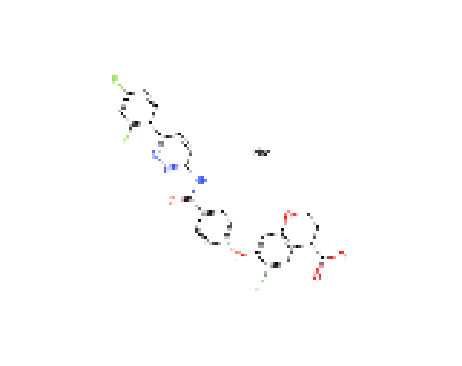 O=C(Nc1ccc(-c2ccc(F)cc2F)nn1)c1ccc(Oc2cc3c(cc2Cl)C(C(=O)[O-])CCO3)cc1.[Na+]